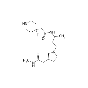 CNC(=O)CC1CCN(CCC(C)NC(=O)CC2(F)CCNCC2)C1